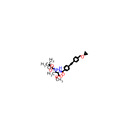 COC(=O)[C@@H](NC(=O)c1ccc(C#Cc2ccc(COC3CC3)cc2)cc1)[C@@H](C)NC(=O)OC(C)(C)C